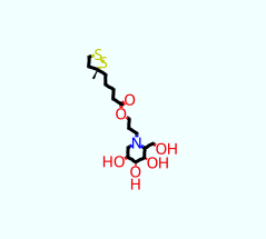 C[C@@]1(CCCCC(=O)OCCCN2CC(O)[C@@H](O)[C@H](O)C2CO)CCSS1